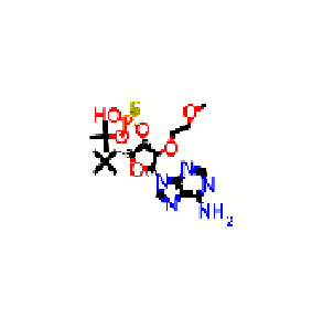 COCCOC1[C@@H](OP(O)(=S)OC(C)(C)C)[C@@H](CC(C)(C)C)O[C@H]1n1cnc2c(N)ncnc21